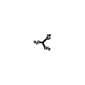 C[CH](C)[Zn+].F.[I-]